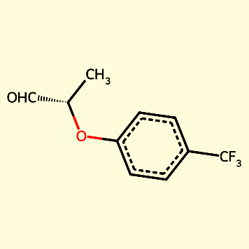 C[C@@H](C=O)Oc1ccc(C(F)(F)F)cc1